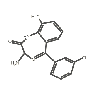 Cc1cccc2c1NC(=O)C(N)N=C2c1cccc(Cl)c1